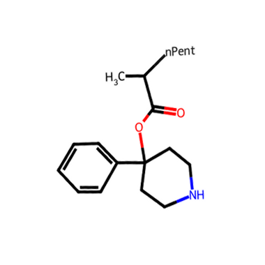 CCCCCC(C)C(=O)OC1(c2ccccc2)CCNCC1